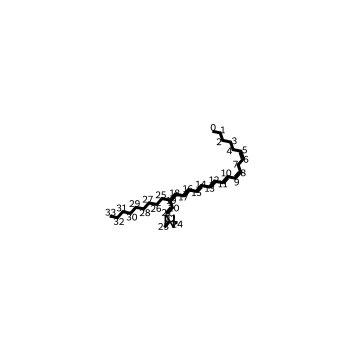 CCCCC/C=C\C/C=C\C=C\C=CC=CC=CC=C(C=CN(C)C)CCCCCCCCC